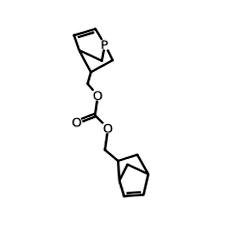 O=C(OCC1CC2C=CC1C2)OCC1CP2C=CC1C2